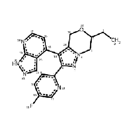 CCC1Cn2nc(-c3ccc(F)cn3)c(-c3ccnc4[nH]ncc34)c2CO1